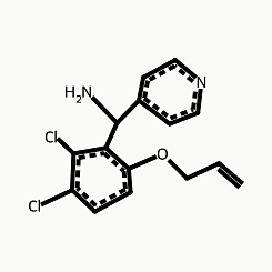 C=CCOc1ccc(Cl)c(Cl)c1C(N)c1ccncc1